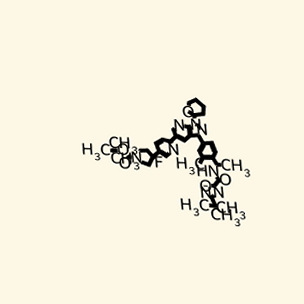 Cc1cc(-c2nn(C3CCCCO3)c3ncc(-c4ccc(C5(F)CCN(C(=O)OC(C)(C)C)CC5)cn4)cc23)ccc1C(C)NC(=O)c1nc(C(C)(C)C)no1